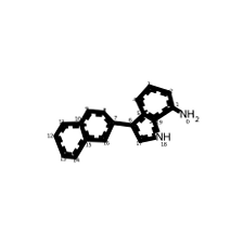 Nc1cccc2c(-c3ccc4ccccc4c3)c[nH]c12